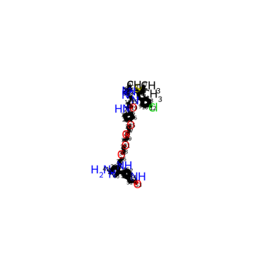 Cc1sc2c(c1C)C(c1ccc(Cl)cc1)=N[C@@H](CC(=O)Nc1ccc(OCCOCCOCCOCCNc3cc(N)ncc3-c3ccc4c(c3)CC(=O)N4)cc1)c1nnc(C)n1-2